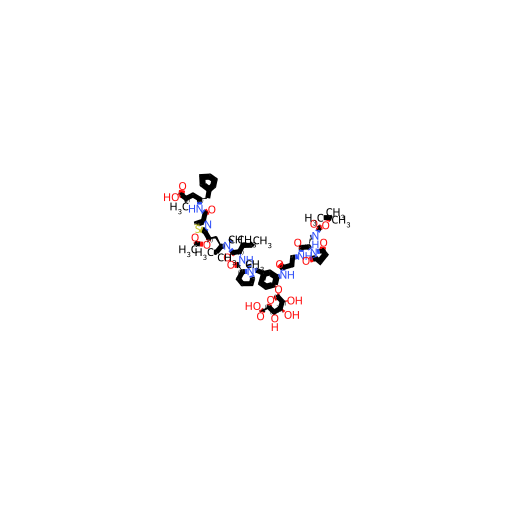 CC[C@H](C)[C@H](NC(=O)[C@H]1CCCC[N+]1(C)Cc1ccc(O[C@@H]2O[C@H](C(=O)O)[C@@H](O)[C@H](O)[C@H]2O)c(NC(=O)CCNC(=O)[C@H](CNC(=O)OC(C)(C)C)N2C(=O)C=CC2=O)c1)C(=O)N(C)[C@H](C[C@@H](OC(C)=O)c1nc(C(=O)N[C@@H](Cc2ccccc2)C[C@H](C)C(=O)O)cs1)C(C)C